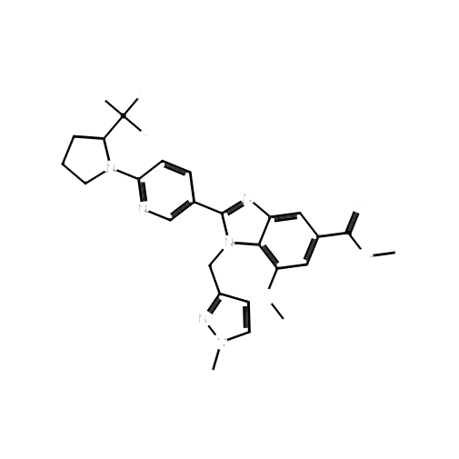 COC(=O)c1cc(OC)c2c(c1)nc(-c1ccc(N3CCCC3C(F)(F)F)nc1)n2Cc1ccn(C)n1